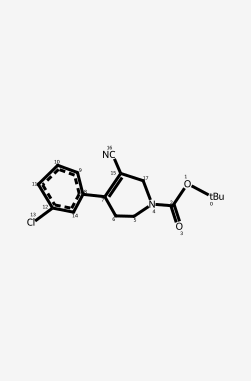 CC(C)(C)OC(=O)N1CCC(c2cccc(Cl)c2)=C(C#N)C1